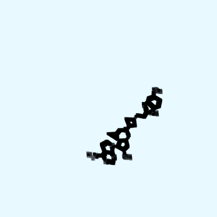 CC(C)(C)c1ccc2[nH]c(CC[C@H]3C[C@H](N(CC4CC4)C[C@@H]4C[C@@H](O)[C@H](n5ccc6c(N)ncnc65)C4)C3)nc2c1